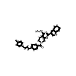 CNc1nc(-c2cnc3ccccc3c2)nc2c1CCN(C(=O)c1ccc(C/C=C/c3ccc(C)cc3)cc1)C2